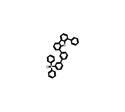 O=P(c1ccccc1)(c1ccccc1)c1cccc(-c2cccc(-c3cccc4c3sc3c(-c5ccccc5)cccc34)c2)c1